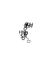 O=C(NC1CSc2ccccc2N(CCCC2CCCCC2)C1=O)c1ccc(OP(=O)(O)O)cc1